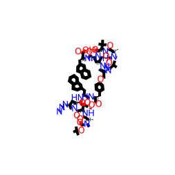 COC(=O)[C@H](Cc1ccc(OCc2cn([C@H]3C[C@@H](C(=O)N[C@@H](Cc4ccc5ccccc5c4)C(=O)O)N(C(=O)[C@@H](NC(=O)[C@H](C)N(C)C(=O)OC(C)(C)C)C(C)(C)C)C3)nn2)cc1)NC(=O)C(Cc1ccc2ccccc2c1)NC(=O)[C@@H]1C[C@H](N=[N+]=[N-])CN1C(=O)[C@@H](NC(=O)[C@H](C)N(C)C(=O)OC(C)(C)C)C(C)(C)C